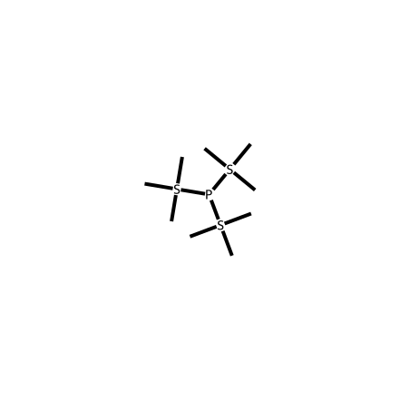 CS(C)(C)P(S(C)(C)C)S(C)(C)C